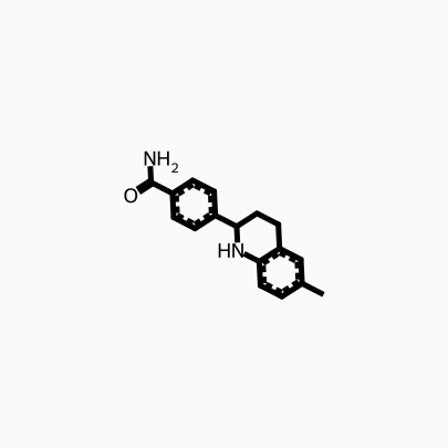 Cc1ccc2c(c1)CCC(c1ccc(C(N)=O)cc1)N2